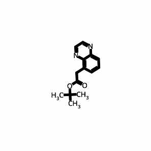 CC(C)(C)OC(=O)Cc1cccc2nccnc12